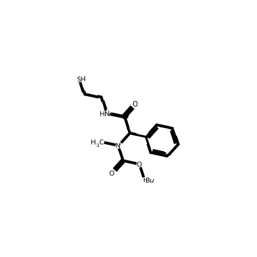 CN(C(=O)OC(C)(C)C)C(C(=O)NCCS)c1ccccc1